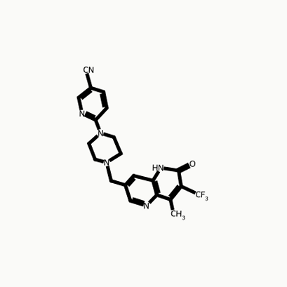 Cc1c(C(F)(F)F)c(=O)[nH]c2cc(CN3CCN(c4ccc(C#N)cn4)CC3)cnc12